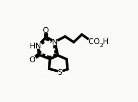 O=C(O)CCCn1c2c(c(=O)[nH]c1=O)CSCC2